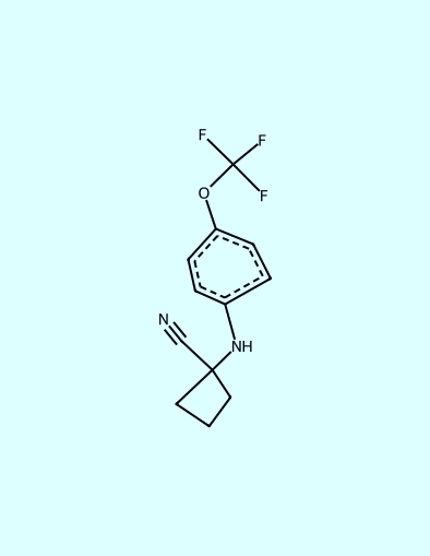 N#CC1(Nc2ccc(OC(F)(F)F)cc2)CCC1